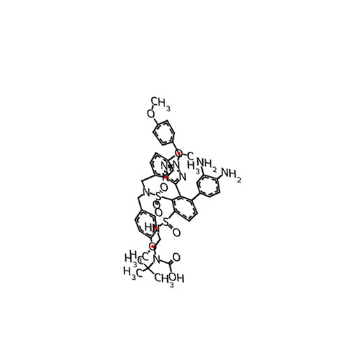 COc1ccc(CN(Cc2ccc(OC)cc2)S(=O)(=O)c2c(S(=O)(=O)NCCN(C(=O)O)C(C)(C)C)ccc(-c3ccc(N)c(N)c3)c2-c2nnn(Cc3ccc(OC)cc3)n2)cc1